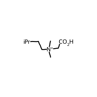 CC(C)CC[N+](C)(C)CC(=O)O